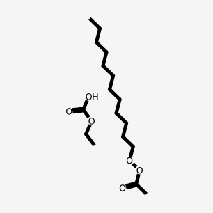 CCCCCCCCCCCCOOC(C)=O.CCOC(=O)O